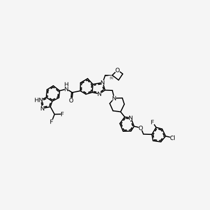 O=C(Nc1ccc2[nH]nc(C(F)F)c2c1)c1ccc2c(c1)nc(CN1CCC(c3cccc(OCc4ccc(Cl)cc4F)n3)CC1)n2C[C@@H]1CCO1